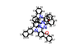 C1=Cc2cc3c(cc21)c1cc2ccccc2cc1n3-c1ccc2c(oc3ccccc32)c1-c1nc(-c2cccc3ccccc23)nc(-c2cccc3c4ccccc4n(-c4ccccc4)c23)n1